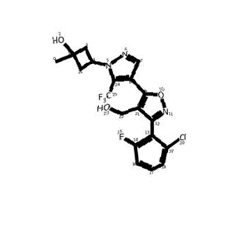 CC1(O)CC(n2ncc(-c3onc(-c4c(F)cccc4Cl)c3CO)c2C(F)(F)F)C1